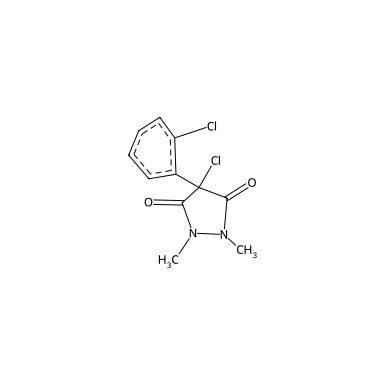 CN1C(=O)C(Cl)(c2ccccc2Cl)C(=O)N1C